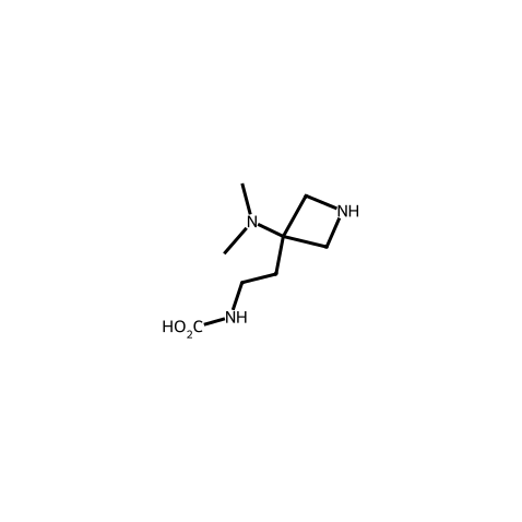 CN(C)C1(CCNC(=O)O)CNC1